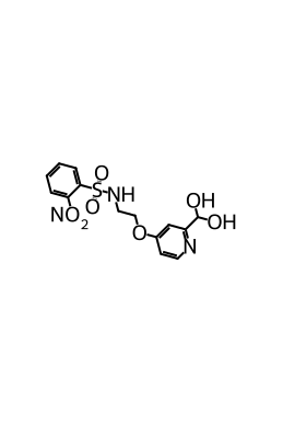 O=[N+]([O-])c1ccccc1S(=O)(=O)NCCOc1ccnc(C(O)O)c1